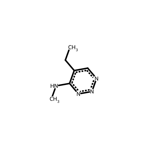 CCc1cnnnc1NC